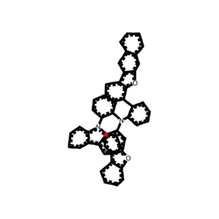 c1ccc(N(c2ccc3c(c2)oc2ccccc23)c2ccccc2-n2c3ccccc3c3ccccc32)c(-c2cccc3c2oc2cc4ccccc4cc23)c1